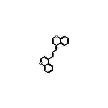 C1=C/C(=C\C=C\c2cc[o+]c3ccccc23)c2ccccc2O1